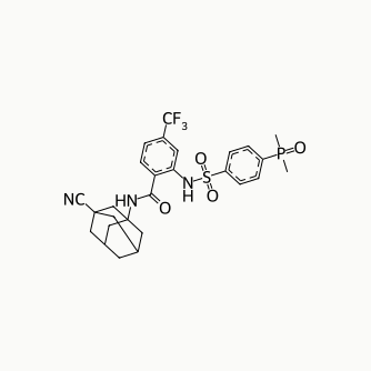 CP(C)(=O)c1ccc(S(=O)(=O)Nc2cc(C(F)(F)F)ccc2C(=O)NC23CC4CC(CC(C#N)(C4)C2)C3)cc1